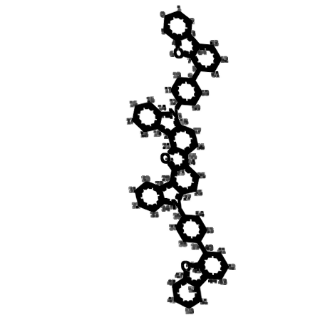 c1ccc2c(c1)oc1c(-c3ccc(-n4c5ccccc5c5c6oc7c(ccc8c7c7ccccc7n8-c7ccc(-c8cccc9c8oc8ccccc89)cc7)c6ccc54)cc3)cccc12